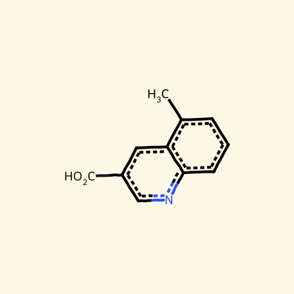 Cc1cccc2ncc(C(=O)O)cc12